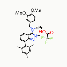 CCCN(Cc1ccc(OC)c(OC)c1)c1c2cccc(-c3c(C)cc(C)cc3C)c2nn1C.O=C(O)C(F)(F)F